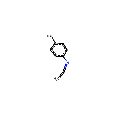 C=C=Nc1ccc(C(C)(C)C)cc1